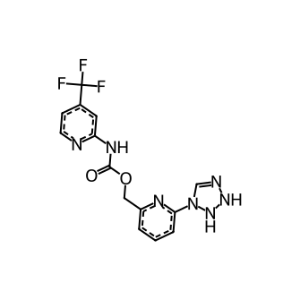 O=C(Nc1cc(C(F)(F)F)ccn1)OCc1cccc(N2C=NNN2)n1